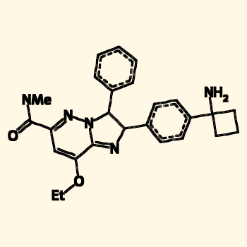 CCOC1=CC(C(=O)NC)=NN2C1=NC(c1ccc(C3(N)CCC3)cc1)C2c1ccccc1